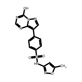 Cc1cc(NS(=O)(=O)c2ccc(-c3cnn4c(O)ncnc34)cc2)no1